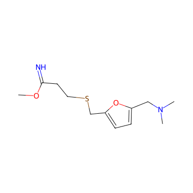 COC(=N)CCSCc1ccc(CN(C)C)o1